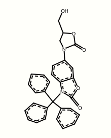 O=C1OC(CO)CN1c1ccc2c(c1)oc(=O)n2C(c1ccccc1)(c1ccccc1)c1ccccc1